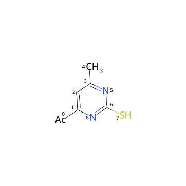 CC(=O)c1cc(C)nc(S)n1